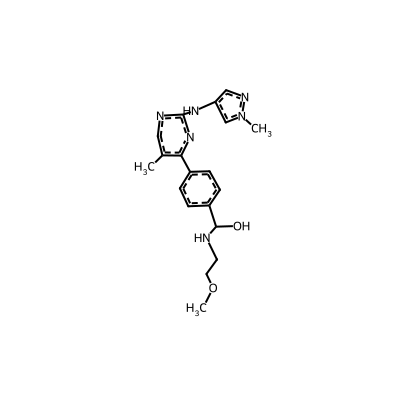 COCCNC(O)c1ccc(-c2nc(Nc3cnn(C)c3)ncc2C)cc1